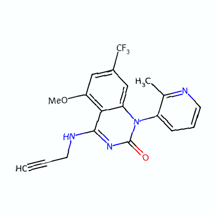 C#CCNc1nc(=O)n(-c2cccnc2C)c2cc(C(F)(F)F)cc(OC)c12